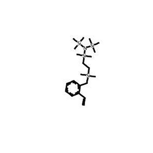 C=Cc1ccccc1C[Si](C)(C)CC[Si](C)(C)N([Si](C)(C)C)[Si](C)(C)C